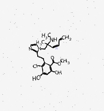 C=C/C=C\C(C)(Cn1ccnc1CCc1c(Cl)c(O)cc(O)c1C(=O)OC)NC